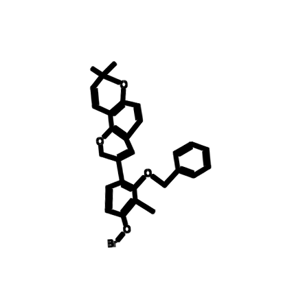 Cc1c(OBr)ccc(C2=Cc3ccc4c(c3OC2)C=CC(C)(C)O4)c1OCc1ccccc1